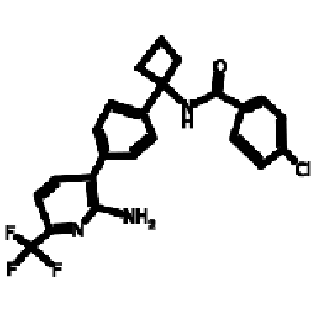 Nc1nc(C(F)(F)F)ccc1-c1ccc(C2(NC(=O)c3ccc(Cl)cc3)CCC2)cc1